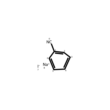 N#Cc1ccccc1.[I-].[Na+]